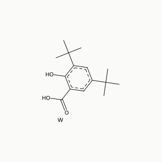 CC(C)(C)c1cc(C(=O)O)c(O)c(C(C)(C)C)c1.[W]